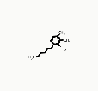 [CH2]CCCCCc1ccc(C)c(C)c1C